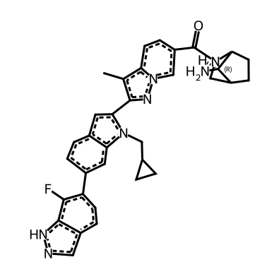 Cc1c(-c2cc3ccc(-c4ccc5cn[nH]c5c4F)cc3n2CC2CC2)nn2cc(C(=O)N3CC4CCC3[C@@H]4N)ccc12